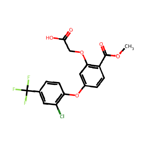 COC(=O)c1ccc(Oc2ccc(C(F)(F)F)cc2Cl)cc1OCC(=O)O